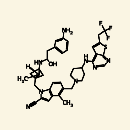 Cc1c(CN2CCC(Nc3ncnc4sc(CC(F)(F)F)cc34)CC2)ccc2c1cc(C#N)n2CC12CC(NC(O)Cc3cccc(N)c3)(C1)[C@H]2C